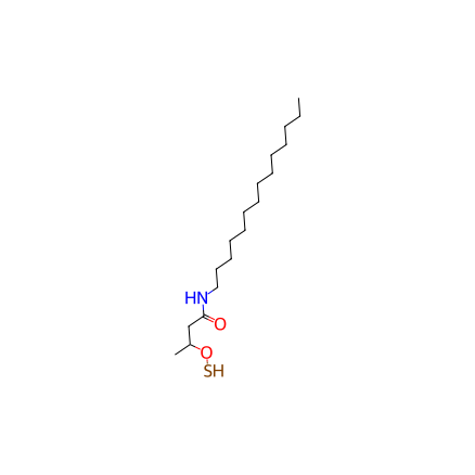 CCCCCCCCCCCCCCNC(=O)CC(C)OS